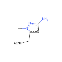 CC(=O)NCc1cc(N)nn1C